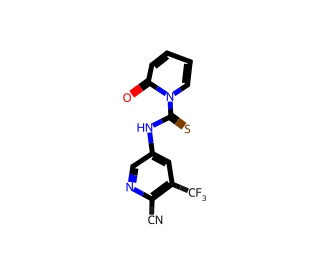 N#Cc1ncc(NC(=S)n2ccccc2=O)cc1C(F)(F)F